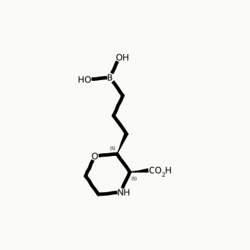 O=C(O)[C@H]1NCCO[C@H]1CCCB(O)O